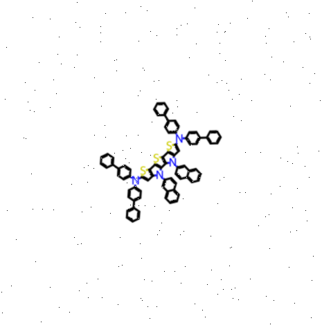 c1ccc(-c2ccc(N(c3ccc(-c4ccccc4)cc3)c3cc4c(s3)c3sc5c6sc(N(c7ccc(-c8ccccc8)cc7)c7ccc(-c8ccccc8)cc7)cc6n(-c6ccc7ccccc7c6)c5c3n4-c3ccc4ccccc4c3)cc2)cc1